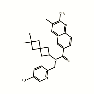 Cc1cc2cc(C(=O)N(Cc3ccc(C(F)(F)F)cn3)C3CC4(C3)CC(F)(F)C4)ccc2nc1N